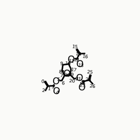 C=C(C)C(=O)OCC1C2CC(OC(=O)C(=C)C)C(O2)C1COC(=O)C(=C)C